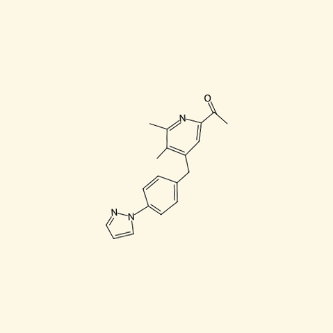 CC(=O)c1cc(Cc2ccc(-n3cccn3)cc2)c(C)c(C)n1